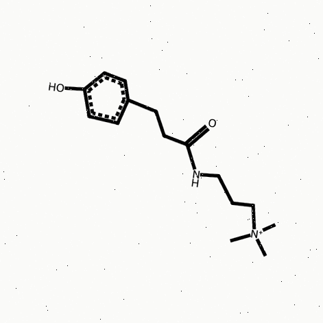 C[N+](C)(C)CCCNC(=O)CCc1ccc(O)cc1